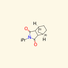 CC(C)N1C(=O)C2C(C1=O)[C@H]1CC[C@@H]2C1